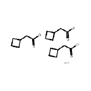 O=C([O-])CC1CCC1.O=C([O-])CC1CCC1.O=C([O-])CC1CCC1.[In+3]